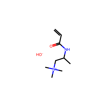 C=CC(=O)NC(C)C[N+](C)(C)C.[OH-]